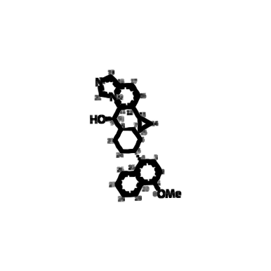 COc1ccc([C@H]2CC[C@H]([C@@H](O)c3c(C4CC4)ccc4cncn34)CC2)c2ccccc12